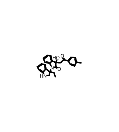 CCC1(N2C(=O)C(O)(CC(=O)c3ccc(C)cc3)c3ccccc32)CNc2ccccc21